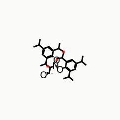 CC(C)c1cc(C(C)C)c(ON(Oc2c(C(C)C)cc(C(C)C)cc2C(C)C)C(C)[C]=O)c(C(C)C)c1